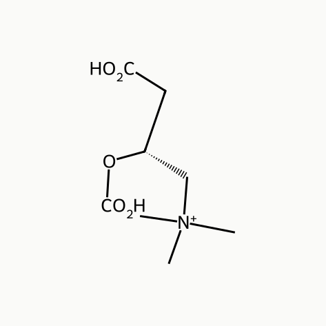 C[N+](C)(C)C[C@@H](CC(=O)O)OC(=O)O